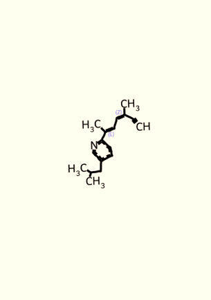 C#C/C(C)=C\C=C(/C)c1ccc(CC(C)C)cn1